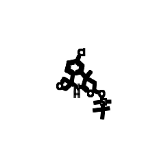 CC1(CCO[Si](C)(C)C(C)(C)C)C(=O)NC2(COC2)c2ccc(Cl)cc21